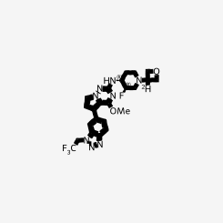 [2H]C1(N2CC[C@@H](Nc3nc(OC)c4c(-c5ccc6nnn(CC(F)(F)F)c6c5)ccn4n3)[C@H](F)C2)COC1